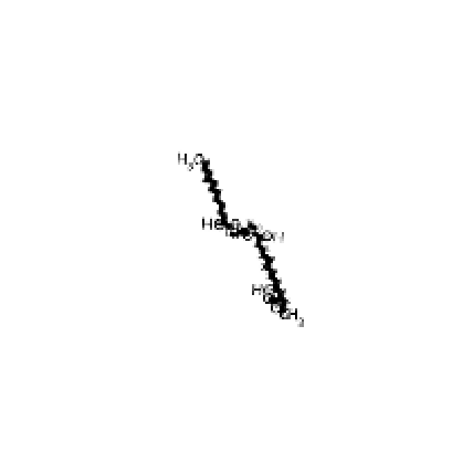 CCCCCCCCCCCC[C@@H](O)[C@H]1CC[C@H]([C@H]2CC[C@H]([C@H](O)CCCCCCCCC(O)CC3=CC(C)OC3=O)O2)O1